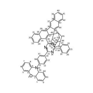 C1=CC2Oc3ccccc3N(c3ccc(-c4nc(-c5ccccc5)nc(-c5c6c(cc7ccccc57)-c5cc7ccccc7cc5C65C6CC7CC(C6)CC5C7)n4)cc3)C2C=C1